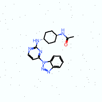 CC(=O)N[C@H]1CC[C@H](Nc2nccc(-n3nnc4ccccc43)n2)CC1